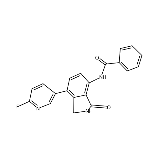 O=C(Nc1ccc(-c2ccc(F)nc2)c2c1C(=O)NC2)c1ccccc1